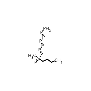 CCCCS(C)(#P)P=PP=PP=PP